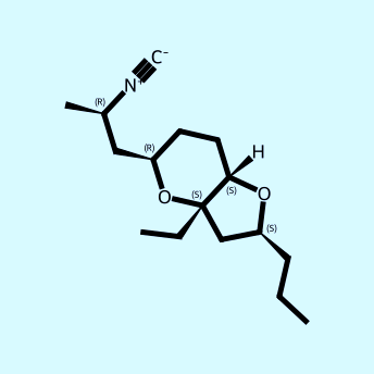 [C-]#[N+][C@H](C)C[C@H]1CC[C@@H]2O[C@@H](CCC)C[C@]2(CC)O1